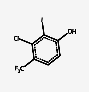 Oc1ccc(C(F)(F)F)c(Cl)c1I